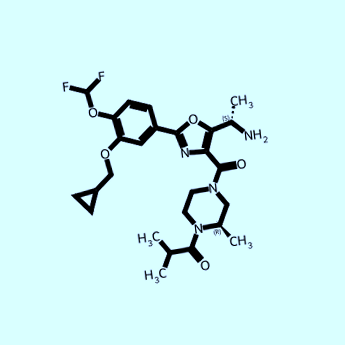 CC(C)C(=O)N1CCN(C(=O)c2nc(-c3ccc(OC(F)F)c(OCC4CC4)c3)oc2[C@H](C)N)C[C@H]1C